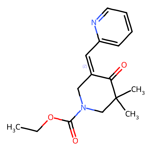 CCOC(=O)N1C/C(=C/c2ccccn2)C(=O)C(C)(C)C1